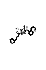 CC(C)(C)C(NC(=O)CCCc1cccnc1)NC(=NC#N)Nc1cccc2ncccc12